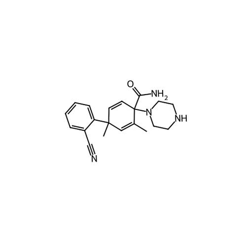 CC1=CC(C)(c2ccccc2C#N)C=CC1(C(N)=O)N1CCNCC1